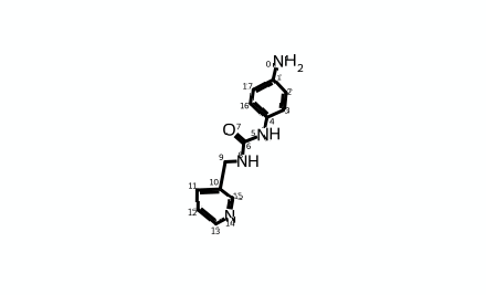 Nc1ccc(NC(=O)NCc2cccnc2)cc1